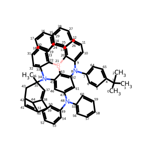 CC(C)(C)c1ccc(N2c3cccc(-c4ccccc4)c3B3c4c(-c5ccccc5)cccc4N(C4(C)C=C5CC6=CC(C4)C65)c4cc(N(c5ccccc5)c5ccccc5)cc2c43)cc1